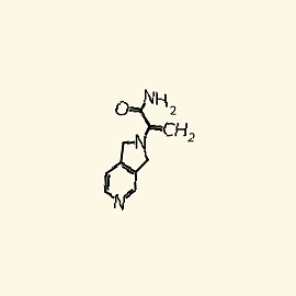 C=C(C(N)=O)N1Cc2ccncc2C1